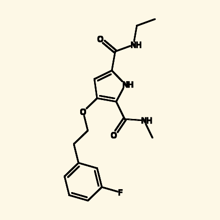 CCNC(=O)c1cc(OCCc2cccc(F)c2)c(C(=O)NC)[nH]1